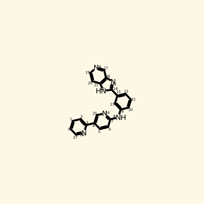 c1ccc(-c2ccc(Nc3cccc(-c4nc5cnccc5[nH]4)c3)nc2)nc1